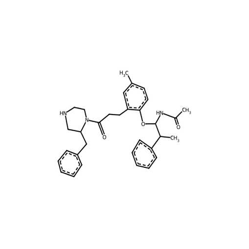 CC(=O)NC(Oc1ccc(C)cc1CCC(=O)N1CCNCC1Cc1ccccc1)C(C)c1ccccc1